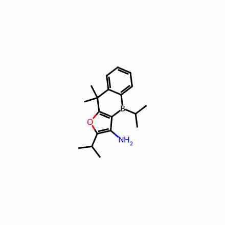 CC(C)B1c2ccccc2C(C)(C)c2oc(C(C)C)c(N)c21